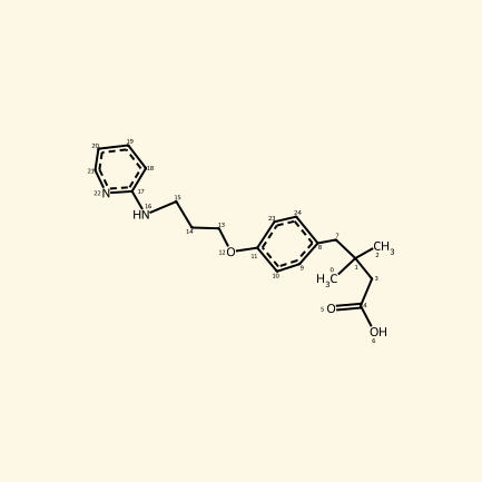 CC(C)(CC(=O)O)Cc1ccc(OCCCNc2ccccn2)cc1